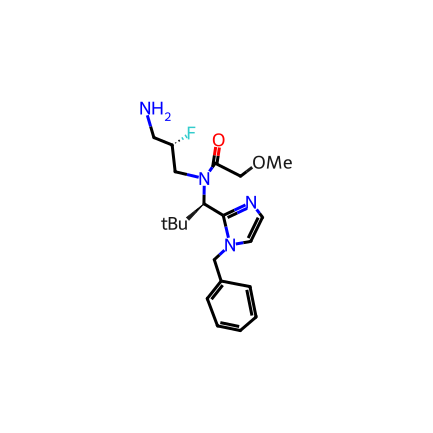 COCC(=O)N(C[C@@H](F)CN)[C@@H](c1nccn1Cc1ccccc1)C(C)(C)C